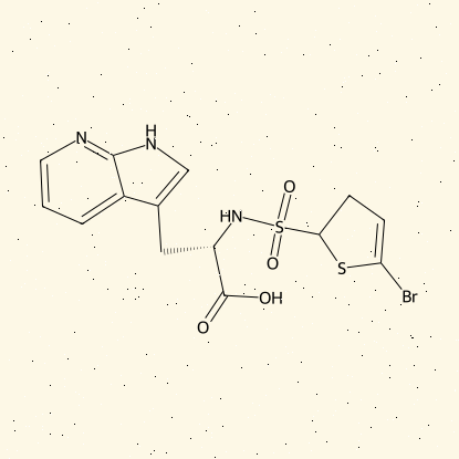 O=C(O)[C@H](Cc1c[nH]c2ncccc12)NS(=O)(=O)C1CC=C(Br)S1